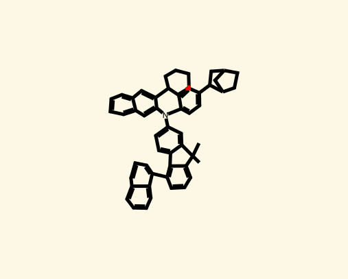 CC1(C)c2cc(N(c3ccc(C4CC5CCC4C5)cc3)c3cc4ccccc4cc3C3CCCCC3)ccc2-c2c(-c3cccc4ccccc34)cccc21